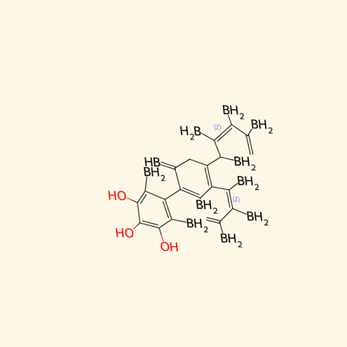 B=C1CC(C(B)/C(B)=C(/B)C(B)=C)=C(/C(B)=C(/B)C(B)=C)C(B)=C1c1c(B)c(O)c(O)c(O)c1B